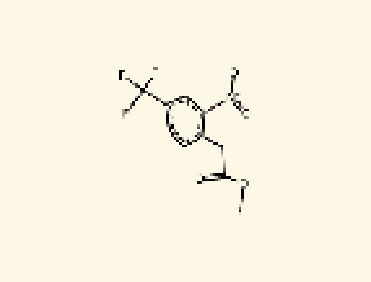 COC(=O)Cc1ccc(C(F)(F)F)cc1[N+](=O)[O-]